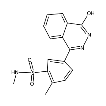 CNS(=O)(=O)c1cc(-c2nnc(O)c3ccccc23)ccc1C